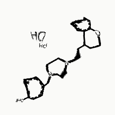 Cl.Cl.Oc1ccc(N2CCN(CCC3CCOc4ccccc43)CC2)cc1